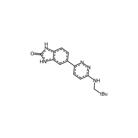 CC(C)(C)CNc1ccc(-c2ccc3[nH]c(=O)[nH]c3c2)nn1